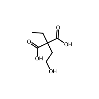 CCC(CCO)(C(=O)O)C(=O)O